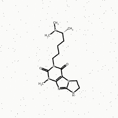 C[C@H](CCCCn1c(=O)c2c(nc3n2CCN3)n(C)c1=O)N(C)C